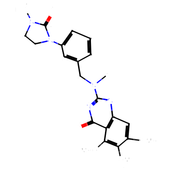 COc1cc2[nH]c(N(C)Cc3cccc(N4CCN(C)C4=O)c3)nc(=O)c2c(OC)c1OC